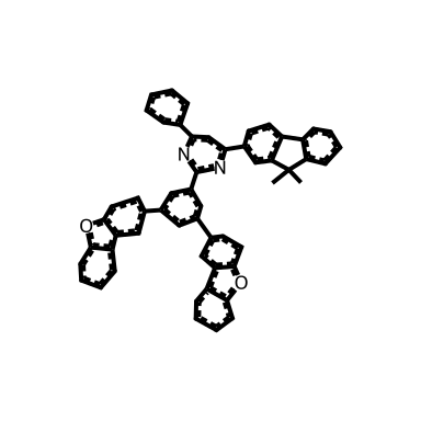 CC1(C)c2ccccc2-c2ccc(-c3cc(-c4ccccc4)nc(-c4cc(-c5ccc6oc7ccccc7c6c5)cc(-c5ccc6oc7ccccc7c6c5)c4)n3)cc21